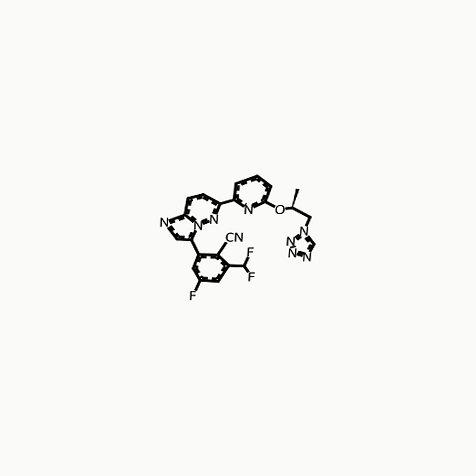 C[C@@H](Cn1cnnn1)Oc1cccc(-c2ccc3ncc(-c4cc(F)cc(C(F)F)c4C#N)n3n2)n1